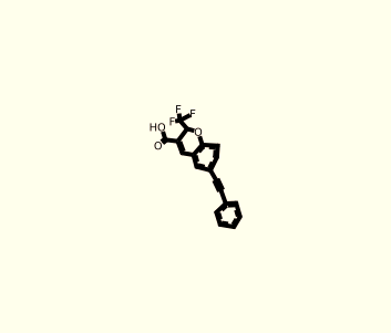 O=C(O)C1=Cc2cc(C#Cc3ccccc3)ccc2OC1C(F)(F)F